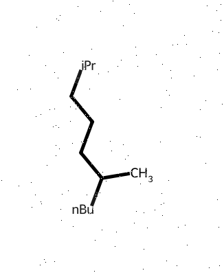 [CH2]CCCC(C)CCCC(C)C